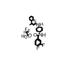 Cc1cc(N[C@H]2CC[C@@H](NC(=O)c3ccc(F)c(F)c3)CC2)nc2ccccc12.O=C(O)C(F)(F)F